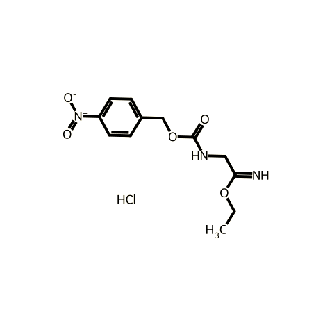 CCOC(=N)CNC(=O)OCc1ccc([N+](=O)[O-])cc1.Cl